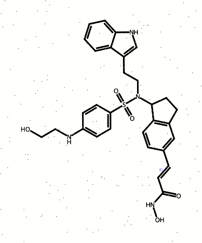 O=C(/C=C/c1ccc2c(c1)CCC2N(CCc1c[nH]c2ccccc12)S(=O)(=O)c1ccc(NCCO)cc1)NO